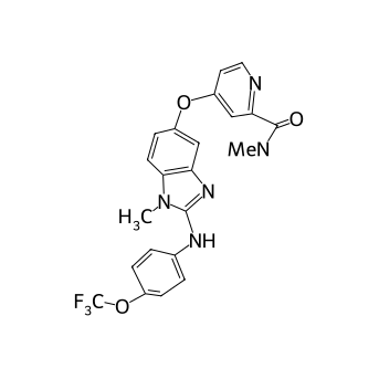 CNC(=O)c1cc(Oc2ccc3c(c2)nc(Nc2ccc(OC(F)(F)F)cc2)n3C)ccn1